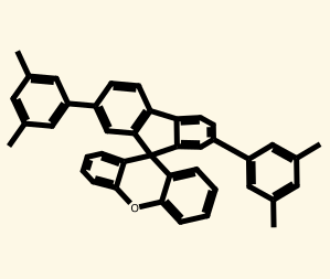 Cc1cc(C)cc(-c2ccc3c(c2)C2(c4ccccc4Oc4ccccc42)c2cc(-c4cc(C)cc(C)c4)ccc2-3)c1